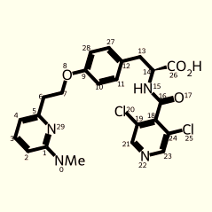 CNc1cccc(CCOc2ccc(C[C@H](NC(=O)c3c(Cl)cncc3Cl)C(=O)O)cc2)n1